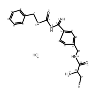 Cl.N=C(NC(=O)OCc1ccccc1)c1ccc(CNC(=O)C(N)CF)cc1